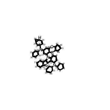 C1=CCCC(N(c2ccc3c4c2c2sc5ccccc5c2n4-c2cc(N(C4=CC5=C[C@H]5C=C4)c4ccccc4)cc4c2B3c2ccccc2O4)C2C=CC=CC2)=C1